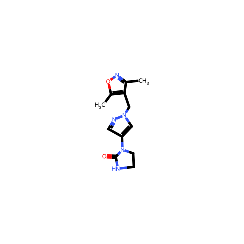 Cc1noc(C)c1Cn1cc(N2CCNC2=O)cn1